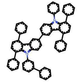 c1ccc(-c2cccc(-n3c4ccc(-c5ccc6c(c5)c5c(-c7ccccc7)ccc(-c7ccccc7)c5n6-c5ccccc5)cc4c4c(-c5ccccc5)ccc(-c5ccccc5)c43)c2)cc1